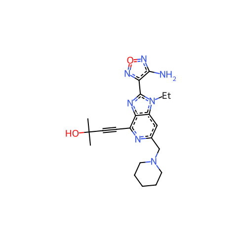 CCn1c(-c2nonc2N)nc2c(C#CC(C)(C)O)nc(CN3CCCCC3)cc21